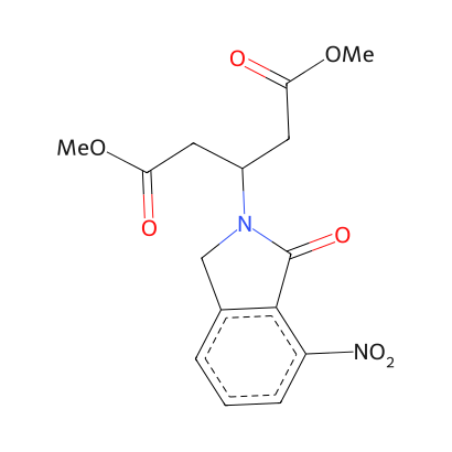 COC(=O)CC(CC(=O)OC)N1Cc2cccc([N+](=O)[O-])c2C1=O